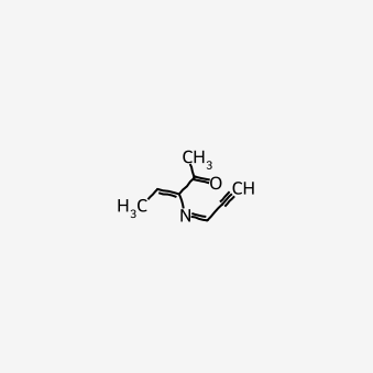 C#C/C=N\C(=C/C)C(C)=O